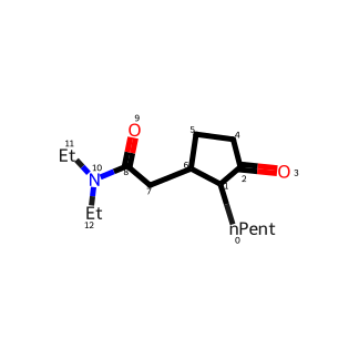 CCCCCC1C(=O)CCC1CC(=O)N(CC)CC